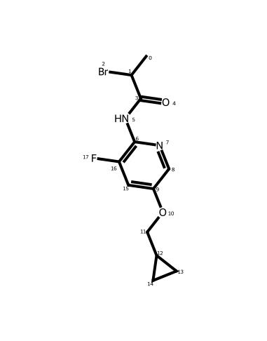 CC(Br)C(=O)Nc1ncc(OCC2CC2)cc1F